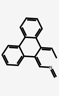 C=N/C=c1\c(=C/C)c2ccccc2c2ccccc12